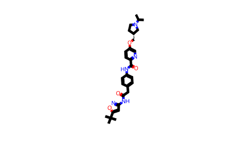 CC(C)N1CC[C@@H](COc2ccc(C(=O)Nc3ccc(CC(=O)Nc4cc(C(C)(C)C)on4)cc3)nc2)C1